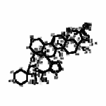 CNC1(CO[C@H]2[C@H](n3ncnc3C(N)=O)C[C@@]34COC[C@]2(C)[C@@H]3CC[C@H]2C4=CC[C@]3(C)[C@H](OC(=O)O)[C@@](C)([C@H](C)C(C)C)CC[C@]23C)CCOCC1